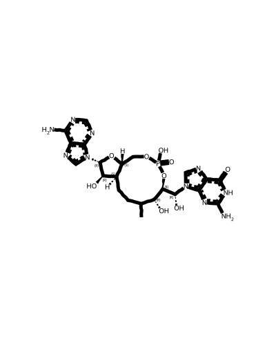 CC1CC[C@H]2[C@@H](O)[C@H](n3cnc4c(N)ncnc43)O[C@@H]2COP(=O)(O)O[C@@H]([C@@H](O)n2cnc3c(=O)[nH]c(N)nc32)[C@@H]1O